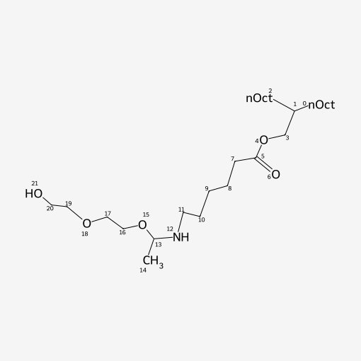 CCCCCCCCC(CCCCCCCC)COC(=O)CCCCCNC(C)OCCOCCO